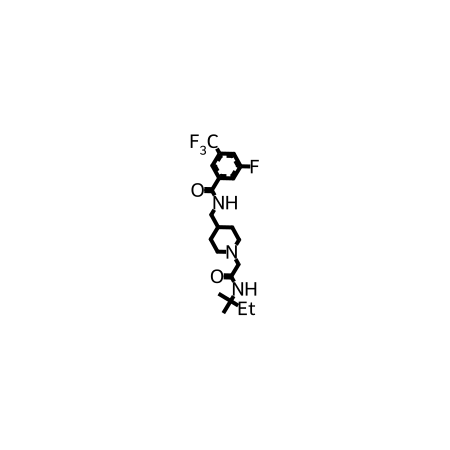 CCC(C)(C)NC(=O)CN1CCC(CNC(=O)c2cc(F)cc(C(F)(F)F)c2)CC1